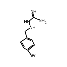 CC(C)c1ccc(CNNC(=N)N)cc1